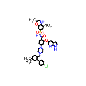 C[C@@H]1CNc2c(cc(S(=O)(=O)NC(=O)c3ccc(N4CCN(CC5=C(c6ccc(Cl)cc6)CC(C)(C)CC5)CC4)cc3Oc3cnc4[nH]ccc4c3)cc2[N+](=O)[O-])O1